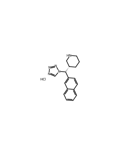 Cl.c1ccc2cc(C([C@H]3CCCNC3)n3cnnn3)ccc2c1